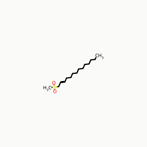 CCCCCCCCCCC/C=C/CS(C)(=O)=O